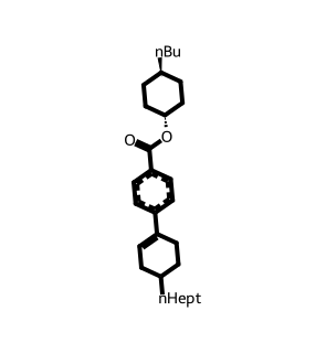 CCCCCCCC1CC=C(c2ccc(C(=O)O[C@H]3CC[C@H](CCCC)CC3)cc2)CC1